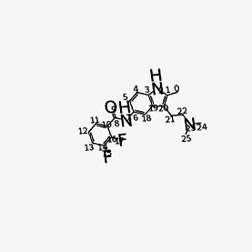 Cc1[nH]c2ccc(NC(=O)c3cccc(F)c3F)cc2c1CCN(C)C